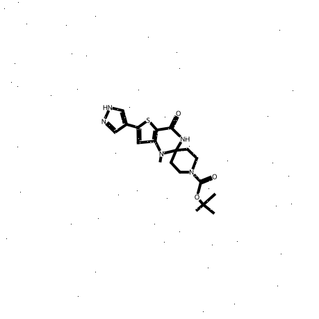 CN1c2cc(-c3cn[nH]c3)sc2C(=O)NC12CCN(C(=O)OC(C)(C)C)CC2